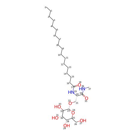 CCCCCCCCCCCCCCCCCC(=O)N[C@@H](CO[C@@H]1OC(CO)[C@H](O)[C@H](O)C1O)C(=O)NC